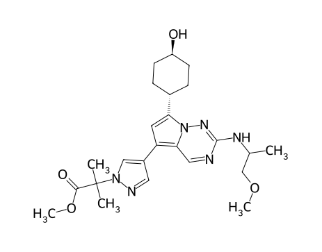 COCC(C)Nc1ncc2c(-c3cnn(C(C)(C)C(=O)OC)c3)cc([C@H]3CC[C@H](O)CC3)n2n1